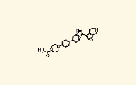 CC(=O)N1CCN(c2ccc(-c3ccn4c(-c5csc6cnccc56)cnc4c3)cc2)CC1